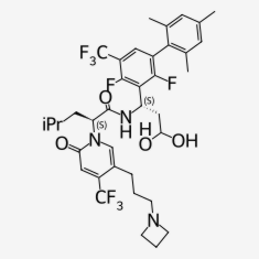 Cc1cc(C)c(-c2cc(C(F)(F)F)c(F)c([C@H](CC(O)O)NC(=O)[C@H](CC(C)C)n3cc(CCCN4CCC4)c(C(F)(F)F)cc3=O)c2F)c(C)c1